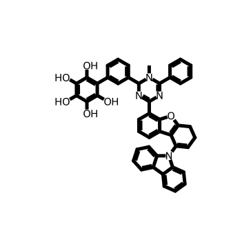 CN1C(c2ccccc2)=NC(c2cccc3c4c(oc23)CCC=C4n2c3ccccc3c3ccccc32)=NC1c1cccc(-c2c(O)c(O)c(O)c(O)c2O)c1